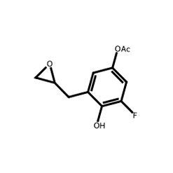 CC(=O)Oc1cc(F)c(O)c(CC2CO2)c1